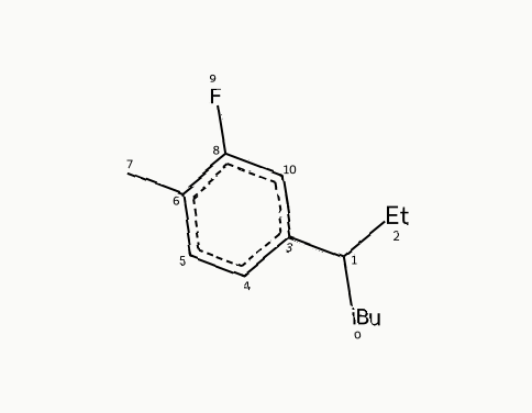 CCC(C)C(CC)c1ccc(C)c(F)c1